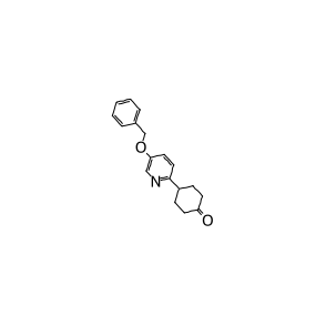 O=C1CCC(c2ccc(OCc3ccccc3)cn2)CC1